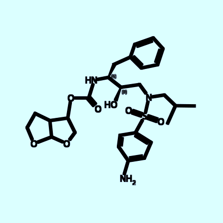 CC(C)CN(C[C@@H](O)[C@H](Cc1ccccc1)NC(=O)OC1COC2OCCC12)S(=O)(=O)c1ccc(N)cc1